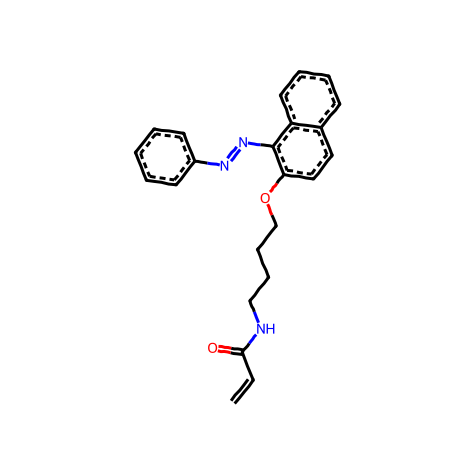 C=CC(=O)NCCCCOc1ccc2ccccc2c1N=Nc1ccccc1